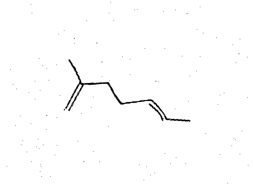 [CH]=C(C)CC/C=[C]/C